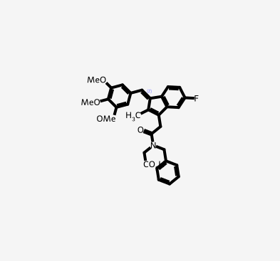 COc1cc(/C=C2\C(C)=C(CC(=O)N(CC(=O)O)Cc3ccccc3)c3cc(F)ccc32)cc(OC)c1OC